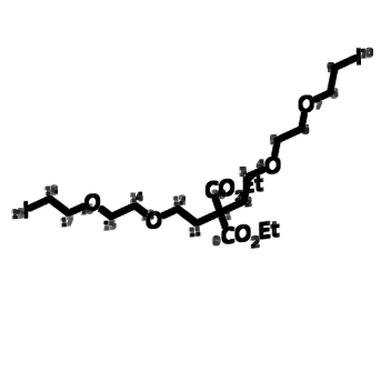 CCOC(=O)C(CCOCCOCCI)(CCOCCOCCI)C(=O)OCC